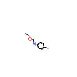 CCOC=Nc1ccc(C)cc1